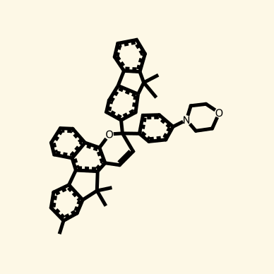 Cc1ccc2c(c1)C(C)(C)c1c3c(c4ccccc4c1-2)OC(c1ccc(N2CCOCC2)cc1)(c1ccc2c(c1)C(C)(C)c1ccccc1-2)C=C3